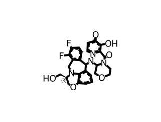 O=C1c2c(O)c(=O)ccn2N(C2c3ccc(F)c(F)c3CN3c4c(cccc42)OC[C@H]3CO)C2COCCN12